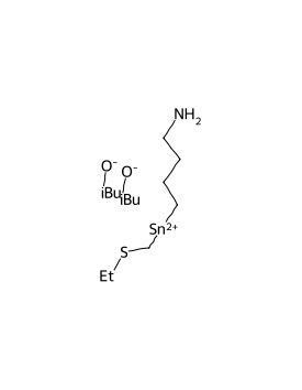 CCC(C)[O-].CCC(C)[O-].CCS[CH2][Sn+2][CH2]CCCN